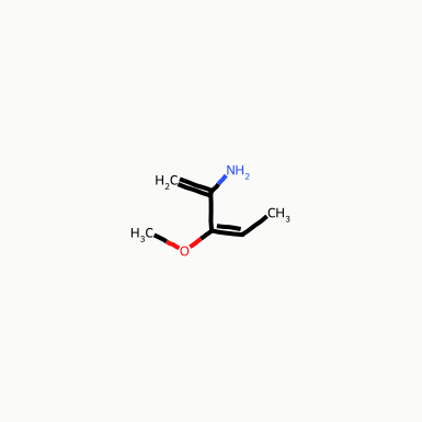 C=C(N)/C(=C\C)OC